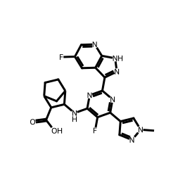 Cn1cc(-c2nc(-c3n[nH]c4ncc(F)cc34)nc(NC3C4CCC(C4)C3C(=O)O)c2F)cn1